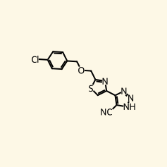 N#Cc1[nH]nnc1-c1csc(COCc2ccc(Cl)cc2)n1